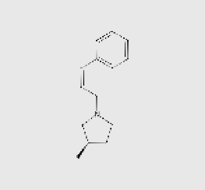 C[C@@H]1CCN(C/C=C\c2ccccc2)C1